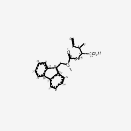 C=CC(C)C(NC(=O)OCC1c2ccccc2-c2ccccc21)C(=O)O